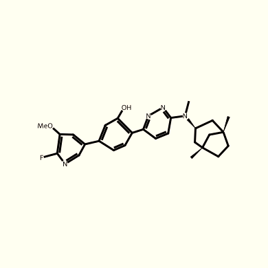 COc1cc(-c2ccc(-c3ccc(N(C)[C@H]4C[C@]5(C)CC[C@](C)(C4)C5)nn3)c(O)c2)cnc1F